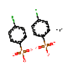 O=S(=O)([O-])c1ccc(F)cc1.O=S(=O)([O-])c1ccc(F)cc1.[Hg+2]